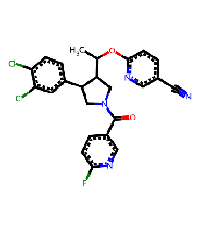 CC(Oc1ccc(C#N)cn1)C1CN(C(=O)c2ccc(F)nc2)CC1c1ccc(Cl)c(Cl)c1